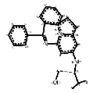 CC(C)[C@H](CO)Nc1cc(N=C(c2ccccc2)c2ccccc2)n2nccc2c1